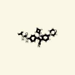 CC(C)NC(=O)Nc1ccc(-c2c(C#N)c3ccc(N4CCOCC4)cc3n2C2CCC2)cc1